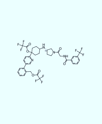 O=C(NCC(=O)N1CC[C@H](NC2CCC(OC(=O)C(F)(F)F)(c3ccc(-c4ccccc4COC(=O)C(F)(F)F)cn3)CC2)C1)c1cccc(C(F)(F)F)c1